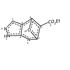 CCOC(=O)c1c2nc3[nH]ncc3c1o2